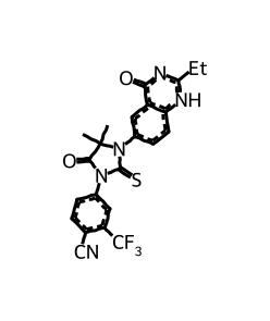 CCc1nc(=O)c2cc(N3C(=S)N(c4ccc(C#N)c(C(F)(F)F)c4)C(=O)C3(C)C)ccc2[nH]1